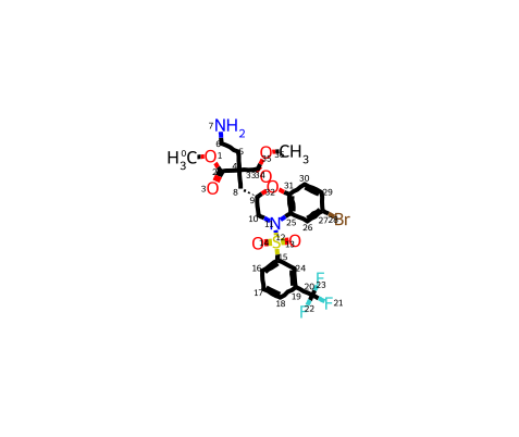 COC(=O)C(CCN)(C[C@H]1CN(S(=O)(=O)c2cccc(C(F)(F)F)c2)c2cc(Br)ccc2O1)C(=O)OC